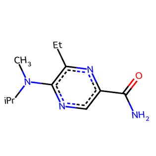 CCc1nc(C(N)=O)cnc1N(C)C(C)C